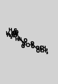 C=C(C)C(=O)OCCOC(=O)c1ccc2c(c1)C(=O)N(CCNCCC[Si](OC)(OC)OC)C2=O